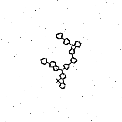 CC1(C)c2ccccc2-c2ccc(N(c3ccc(-c4cccc(-c5ccc6c(c5)c5ccccc5n6-c5ccc(-c6ccccc6)cc5)c4)cc3)c3ccc4cc(-c5ccccc5)ccc4c3)cc21